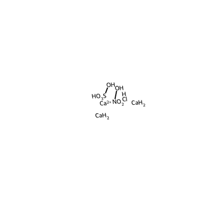 Cl.O=S(=O)(O)O.O=[N+]([O-])O.[Ca+2].[CaH2].[CaH2]